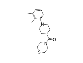 Cc1cccc(N2CCC(C(=O)N3CCSCC3)CC2)c1C